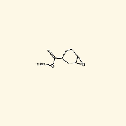 CCCCCCOC(=O)C1CCC2OC2C1